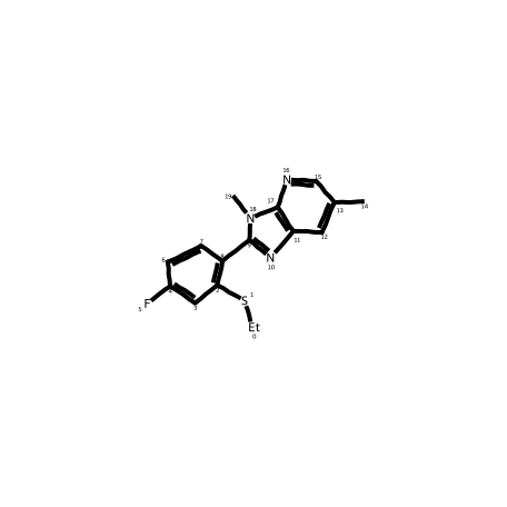 CCSc1cc(F)ccc1-c1nc2cc(C)cnc2n1C